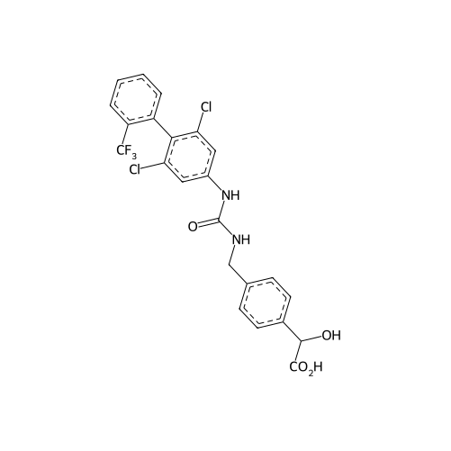 O=C(NCc1ccc(C(O)C(=O)O)cc1)Nc1cc(Cl)c(-c2ccccc2C(F)(F)F)c(Cl)c1